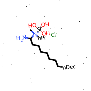 CCCCCCCCCCCCCCCCCC(N)[N+](C)(CCC)[Si](O)(O)O.[Cl-]